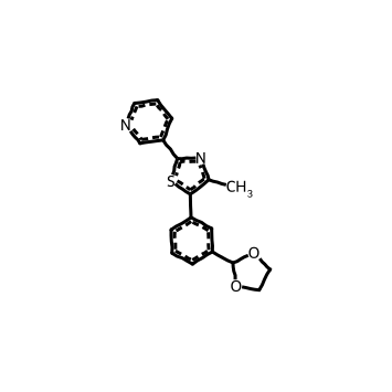 Cc1nc(-c2cccnc2)sc1-c1cccc(C2OCCO2)c1